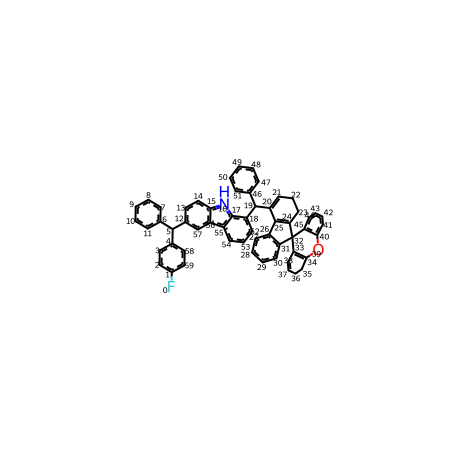 Fc1ccc(C(c2ccccc2)c2ccc3[nH]c4c(C(C5=CCCC6=C5c5ccccc5C65C6=C(CCC=C6)Oc6ccccc65)c5ccccc5)cccc4c3c2)cc1